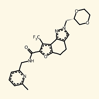 Cc1cccc(CNC(=O)c2oc3c(c2C(F)(F)F)-c2nn(C[C@H]4COCCO4)cc2CC3)n1